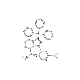 NC(=O)c1[c]ccc2c1c(-c1ccnc(C3CC3)c1)nn2C(c1ccccc1)(c1ccccc1)c1ccccc1